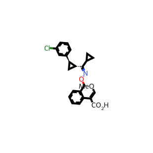 CO/C=C(/C(=O)O)c1ccccc1CON=C(C1CC1)[C@@H]1C[C@H]1c1cccc(Cl)c1